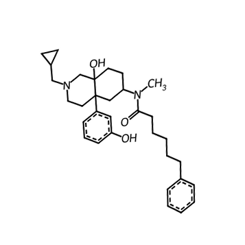 CN(C(=O)CCCCCc1ccccc1)C1CCC2(O)CN(CC3CC3)CCC2(c2cccc(O)c2)C1